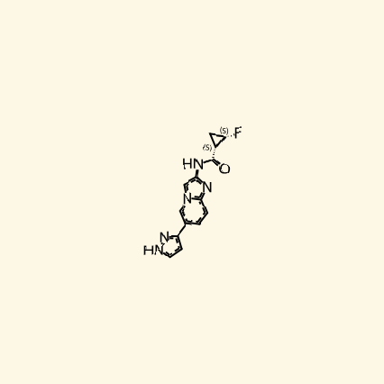 O=C(Nc1cn2cc(-c3cc[nH]n3)ccc2n1)[C@@H]1C[C@@H]1F